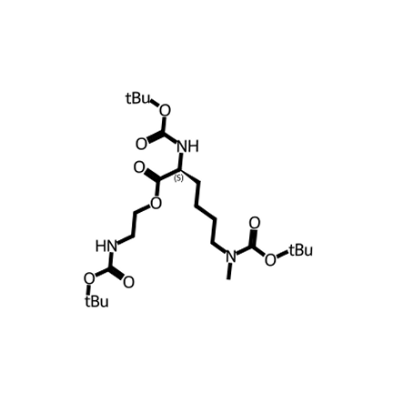 CN(CCCC[C@H](NC(=O)OC(C)(C)C)C(=O)OCCNC(=O)OC(C)(C)C)C(=O)OC(C)(C)C